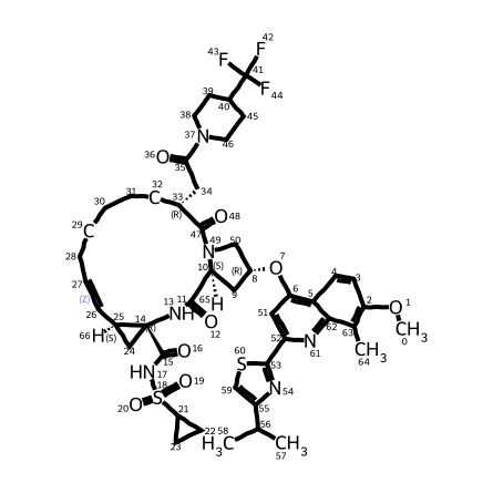 COc1ccc2c(O[C@@H]3C[C@H]4C(=O)N[C@]5(C(=O)NS(=O)(=O)C6CC6)C[C@H]5/C=C\CCCCC[C@H](CC(=O)N5CCC(C(F)(F)F)CC5)C(=O)N4C3)cc(-c3nc(C(C)C)cs3)nc2c1C